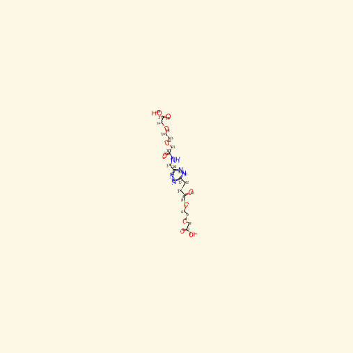 O=C(O)COCCOCC(=O)CCc1nnc(CNC(=O)COCCOCC(=O)O)nn1